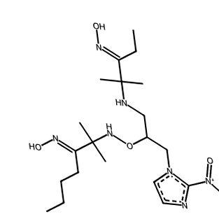 CCCCC(=NO)C(C)(C)NOC(CNC(C)(C)C(CC)=NO)Cn1ccnc1[N+](=O)[O-]